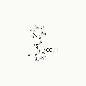 Cc1onc(C(=O)O)c1SCc1ccccc1